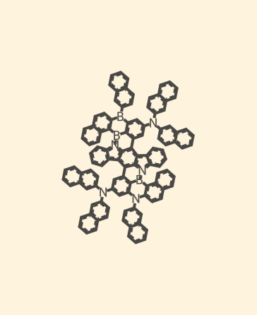 c1ccc2cc(B3c4cc(N(c5ccc6ccccc6c5)c5ccc6ccccc6c5)cc5c4B(c4c3ccc3ccccc43)n3c4ccccc4c4c6c7c(c-5c43)c3ccccc3n7B3c4c-6cc(N(c5ccc6ccccc6c5)c5ccc6ccccc6c5)cc4N(c4ccc5ccccc5c4)c4ccc5ccccc5c43)ccc2c1